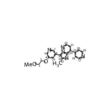 COCCOc1cncc(-c2c(C)nc3c(-c4ccncc4)ccnn23)c1